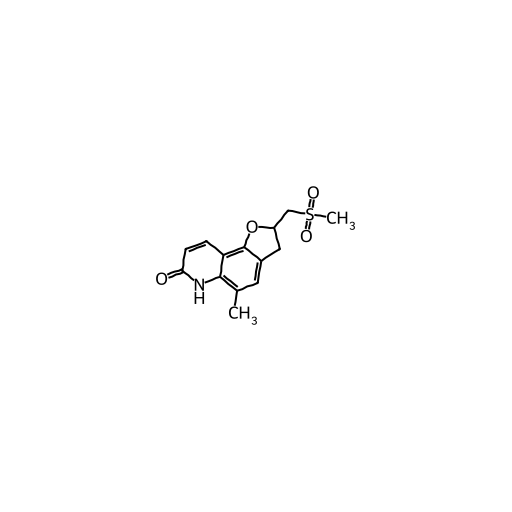 Cc1cc2c(c3ccc(=O)[nH]c13)OC(CS(C)(=O)=O)C2